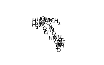 Cc1c(C=O)c(C2C=C(N3CCN(c4ccc(NNC5=CCC(NSC6=CCCC=C6)C(S(=O)(=O)C(F)(F)F)=C5)cc4)CC3)CC3=C2N(C)CCN3C)c(-c2ccc(Cl)cc2)n1C